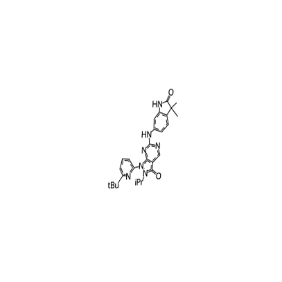 CC(C)n1c(=O)c2cnc(Nc3ccc4c(c3)NC(=O)C4(C)C)nc2n1-c1cccc(C(C)(C)C)n1